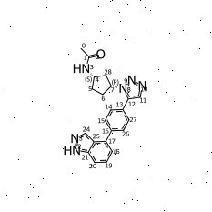 CC(=O)N[C@H]1CC[C@@H](n2nncc2-c2ccc(-c3cccc4[nH]ncc34)cc2)C1